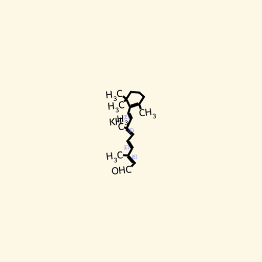 CC1=C(/C=C/C(C)=C/C=C/C(C)=C/C=O)C(C)(C)CCC1.[KH]